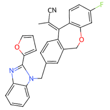 C/C(C#N)=C1\c2ccc(Cn3c(-c4ccco4)nc4ccccc43)cc2COc2cc(F)ccc21